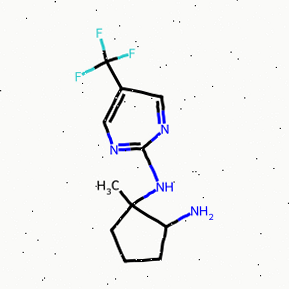 CC1(Nc2ncc(C(F)(F)F)cn2)CCCC1N